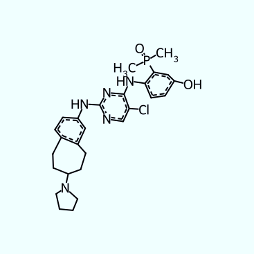 CP(C)(=O)c1cc(O)ccc1Nc1nc(Nc2ccc3c(c2)CCC(N2CCCC2)CC3)ncc1Cl